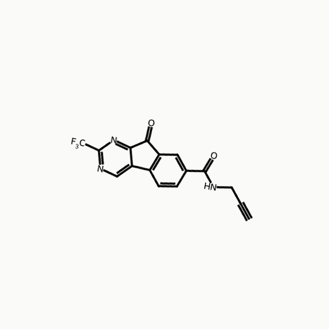 C#CCNC(=O)c1ccc2c(c1)C(=O)c1nc(C(F)(F)F)ncc1-2